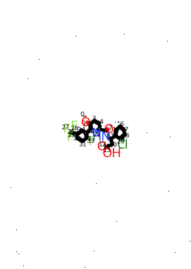 COc1ccc(C(=O)NC(CC(=O)O)c2ccccc2Cl)nc1-c1cc(C(F)(F)F)ccc1F